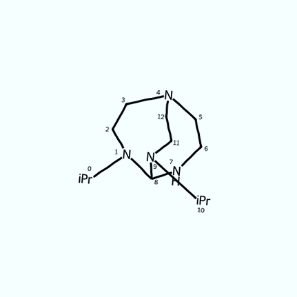 CC(C)N1CCN2CCNC1N(C(C)C)CC2